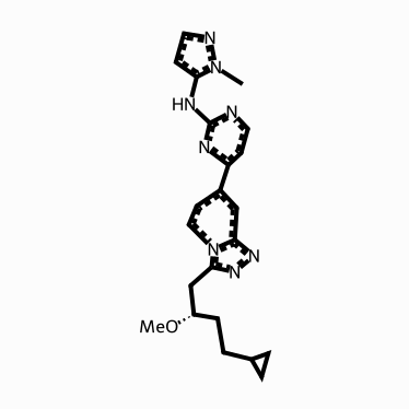 CO[C@@H](CCC1CC1)Cc1nnc2cc(-c3ccnc(Nc4ccnn4C)n3)ccn12